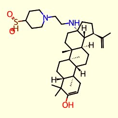 C=C(C)[C@@H]1CC[C@]2(NCCN3CCC([SH](=O)=O)CC3)CC[C@]3(C)[C@H](CC[C@@H]4[C@@]5(C)CC=C(O)C(C)(C)[C@@H]5CC[C@]43C)[C@@H]12